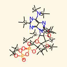 C[Si](C)(C)O[C@]1([Si](C)(C)C)[C@@](O[Si](C)(C)C)([Si](C)(C)C)[C@](C(OP(=O)(O[Si](C)(C)C)OP(=O)(O[Si](C)(C)C)O[Si](C)(C)C)([Si](C)(C)C)[Si](C)(C)C)([Si](C)(C)C)O[C@]1(n1c([Si](C)(C)C)nc2c(N([Si](C)(C)C)[Si](C)(C)C)nc([Si](C)(C)C)nc21)[Si](C)(C)C